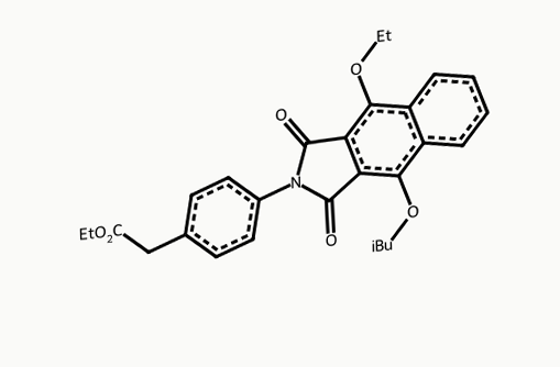 CCOC(=O)Cc1ccc(N2C(=O)c3c(c(OC(C)CC)c4ccccc4c3OCC)C2=O)cc1